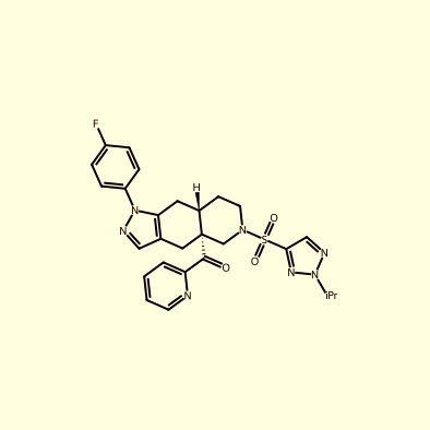 CC(C)n1ncc(S(=O)(=O)N2CC[C@H]3Cc4c(cnn4-c4ccc(F)cc4)C[C@]3(C(=O)c3ccccn3)C2)n1